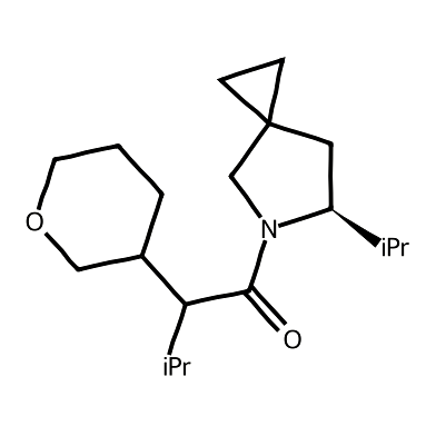 CC(C)C(C(=O)N1CC2(CC2)C[C@H]1C(C)C)C1CCCOC1